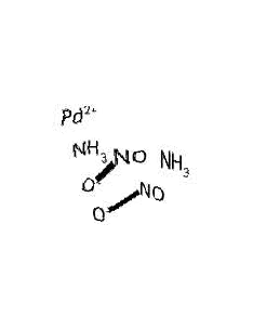 N.N.O=N[O-].O=N[O-].[Pd+2]